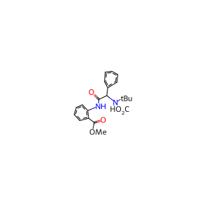 COC(=O)c1ccccc1NC(=O)C(c1ccccc1)N(C(=O)O)C(C)(C)C